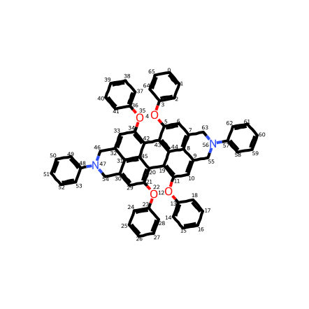 c1ccc(Oc2cc3c4c(cc(Oc5ccccc5)c5c6c(Oc7ccccc7)cc7c8c(cc(Oc9ccccc9)c(c2c45)c86)CN(c2ccccc2)C7)CN(c2ccccc2)C3)cc1